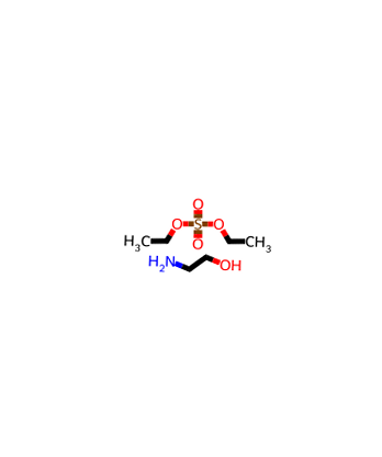 CCOS(=O)(=O)OCC.NCCO